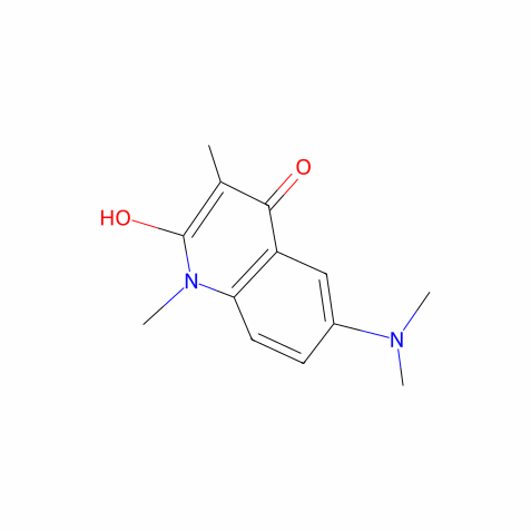 Cc1c(O)n(C)c2ccc(N(C)C)cc2c1=O